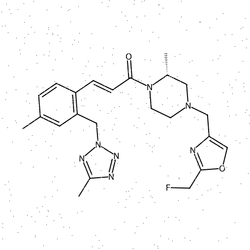 Cc1ccc(/C=C/C(=O)N2CCN(Cc3coc(CF)n3)C[C@H]2C)c(Cn2nnc(C)n2)c1